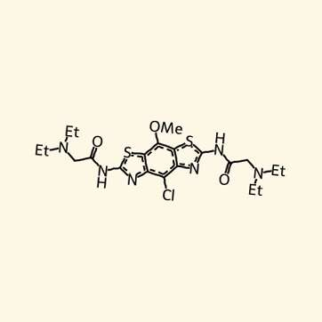 CCN(CC)CC(=O)Nc1nc2c(Cl)c3nc(NC(=O)CN(CC)CC)sc3c(OC)c2s1